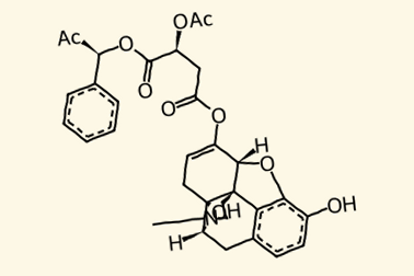 CC(=O)O[C@@H](CC(=O)OC1=CC[C@@]2(O)[C@H]3Cc4ccc(O)c5c4[C@@]2(CCN3C)[C@H]1O5)C(=O)O[C@H](C(C)=O)c1ccccc1